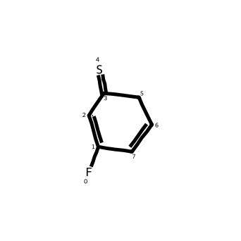 FC1=[C]C(=S)CC=C1